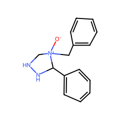 [O-][N+]1(Cc2ccccc2)CNNC1c1ccccc1